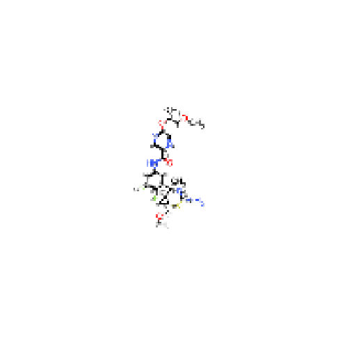 COC[C@H](C)Oc1cnc(C(=O)Nc2cc(F)c(F)c([C@@]3(C)N=C(N)S[C@@]4(COC)C[C@H]43)c2)cn1